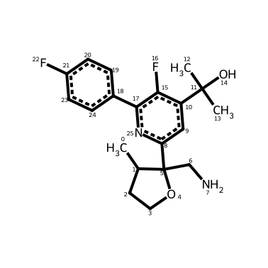 CC1CCOC1(CN)c1cc(C(C)(C)O)c(F)c(-c2ccc(F)cc2)n1